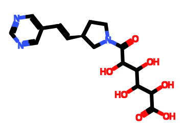 O=C(O)C(O)C(O)C(O)C(O)C(=O)N1CC[C@H](C=Cc2cncnc2)C1